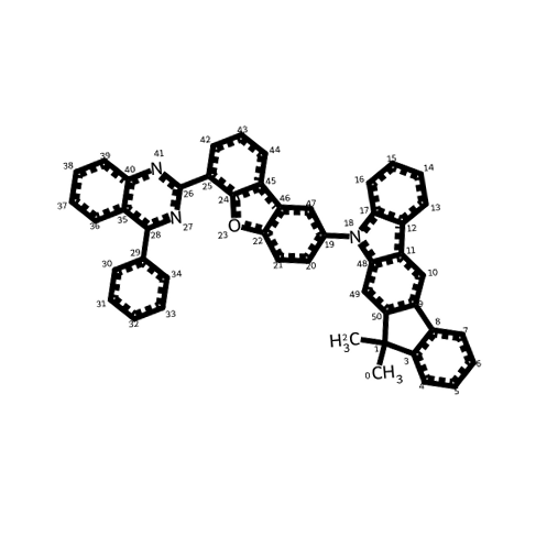 CC1(C)c2ccccc2-c2cc3c4ccccc4n(-c4ccc5oc6c(-c7nc(-c8ccccc8)c8ccccc8n7)cccc6c5c4)c3cc21